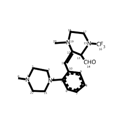 CN1CCN(c2ccccc2C=C2C(C=O)N(C(F)(F)F)CCN2C)CC1